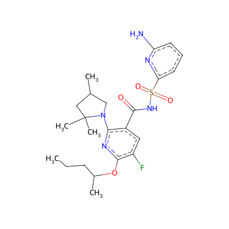 CCCC(C)Oc1nc(N2CC(C)CC2(C)C)c(C(=O)NS(=O)(=O)c2cccc(N)n2)cc1F